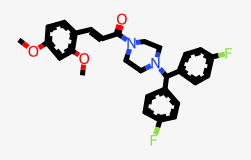 COc1ccc(/C=C/C(=O)N2CCN(C(c3ccc(F)cc3)c3ccc(F)cc3)CC2)c(OC)c1